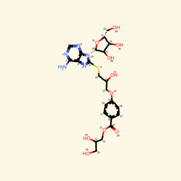 Nc1ncnc2c1nc(SCC(O)COc1ccc(C(=O)OCC(O)CO)cc1)n2[C@@H]1O[C@H](CO)C(O)C1O